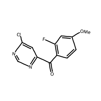 COc1ccc(C(=O)c2cc(Cl)ncn2)c(F)c1